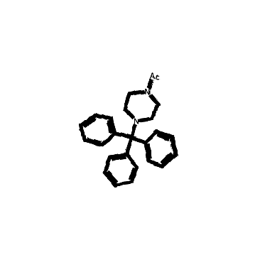 [CH2]C(=O)N1CCN(C(c2ccccc2)(c2ccccc2)c2ccccc2)CC1